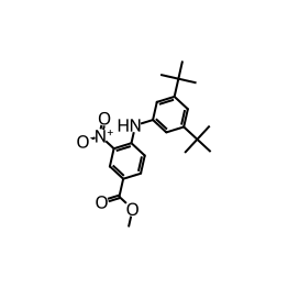 COC(=O)c1ccc(Nc2cc(C(C)(C)C)cc(C(C)(C)C)c2)c([N+](=O)[O-])c1